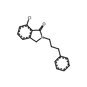 O=C1c2c(Cl)cccc2CN1CCCc1ccccc1